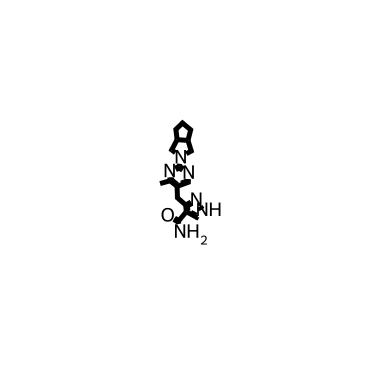 Cc1nc(N2CC3CCCC3C2)ncc1Cc1n[nH]cc1C(N)=O